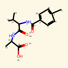 Cc1ccc(C(=O)NC(C(=O)NC(C)C(=O)O)C(C)C)cc1